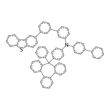 c1ccc(-c2ccc(N(c3ccc(C4(c5ccccc5)c5ccccc5-c5ccccc5-c5ccccc54)cc3)c3cccc(-c4cccc(-c5ccc6sc7ccccc7c6c5)c4)c3)cc2)cc1